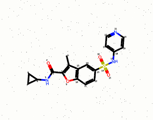 Cc1c(C(=O)NC2CC2)oc2ccc(S(=O)(=O)Nc3ccncc3)cc12